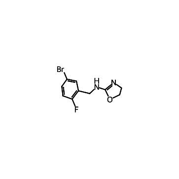 Fc1ccc(Br)cc1CNC1=NCCO1